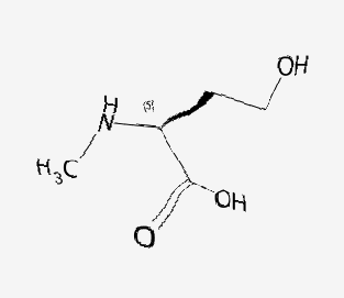 CN[C@@H](CCO)C(=O)O